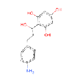 Nc1ccc(CCC(O)c2c(O)cc(O)cc2O)cc1